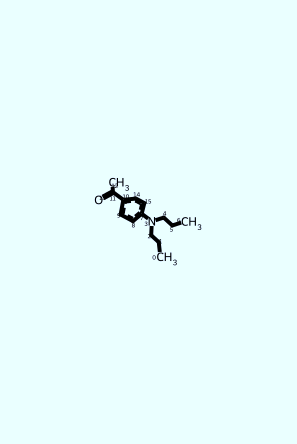 CCCN(CCC)c1ccc(C(C)=O)cc1